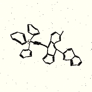 Cc1ccc2c(C#C[Si](c3ccccc3)(c3ccccc3)c3ccccc3)c3ccccc3c(-c3ccc4ccccc4c3)c2c1